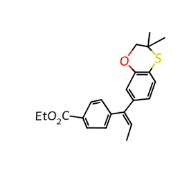 C/C=C(\c1ccc(C(=O)OCC)cc1)c1ccc2c(c1)OCC(C)(C)S2